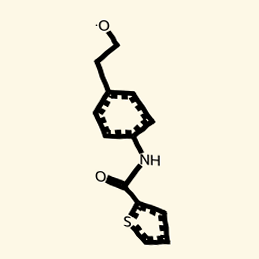 [O]CCc1ccc(NC(=O)c2cccs2)cc1